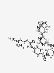 CN(C)C/C=C/C(=O)Nc1ccc(C(=O)N2CCCC(Nc3cc(-c4cnc5[nH]ccc5c4)ncn3)C2)cc1